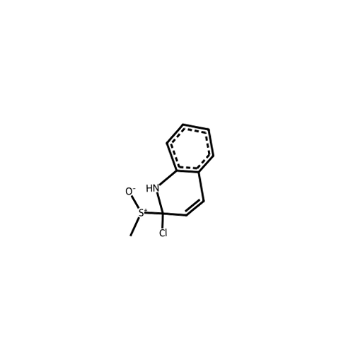 C[S+]([O-])C1(Cl)C=Cc2ccccc2N1